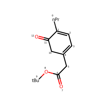 CCCC1=CC=C(CC(=O)OC(C)(C)C)CC1=O